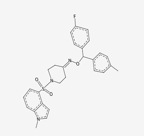 Cc1ccc(C(ON=C2CCN(S(=O)(=O)c3cccc4c3ccn4C)CC2)c2ccc(F)cc2)cc1